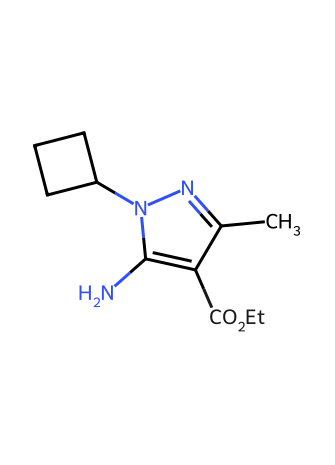 CCOC(=O)c1c(C)nn(C2CCC2)c1N